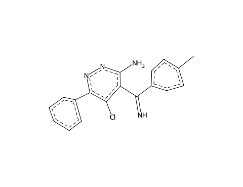 Cc1ccc(C(=N)c2c(N)nnc(-c3ccccc3)c2Cl)cc1